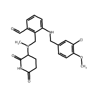 COc1ccc(CNc2cccc(C=O)c2CN(C)C2CCC(=O)NC2=O)cc1Cl